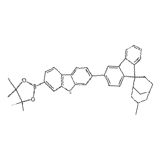 CC1CC2CCC3(c4ccccc4-c4cc(-c5ccc6c(c5)sc5cc(B7OC(C)(C)C(C)(C)O7)ccc56)ccc43)C(C1)C2